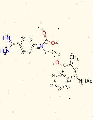 CC(=O)Nc1cc(C)c(OCC2CN(c3ccc(C(=N)N)cc3)C(=O)O2)c2ccccc12